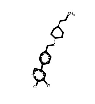 CCC[C@H]1CC[C@H](CCc2ccc(-c3cnc(Cl)c(Cl)c3)cc2)CC1